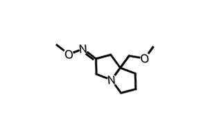 COCC12CCCN1C/C(=N\OC)C2